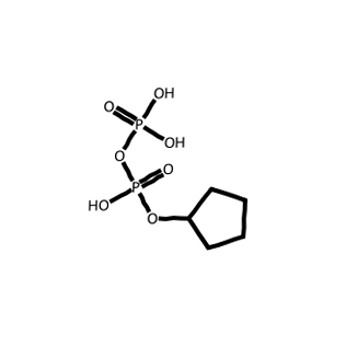 O=P(O)(O)OP(=O)(O)OC1CCCC1